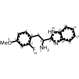 COc1ccc(CC(N)c2nc3ccccc3[nH]2)c(F)c1